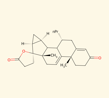 CCC[C@@H]1CC2=CC(=O)CC[C@]2(C)C2=CC[C@@]3(C)C(C21)[C@@H]1C[C@@H]1[C@@]31CCC(=O)O1